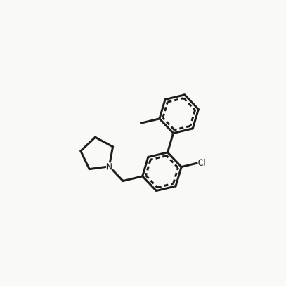 Cc1ccccc1-c1cc(CN2CCCC2)ccc1Cl